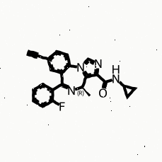 C#Cc1ccc2c(c1)C(c1ccccc1F)=N[C@H](C)c1c(C(=O)NC3CC3)ncn1-2